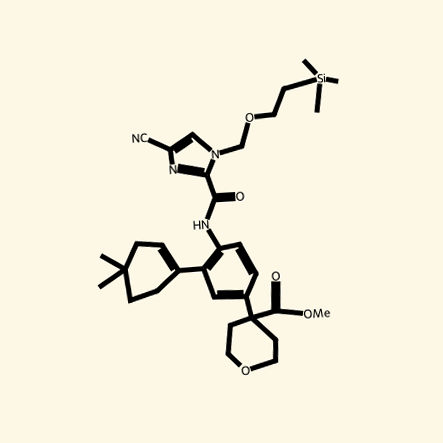 COC(=O)C1(c2ccc(NC(=O)c3nc(C#N)cn3COCC[Si](C)(C)C)c(C3=CCC(C)(C)CC3)c2)CCOCC1